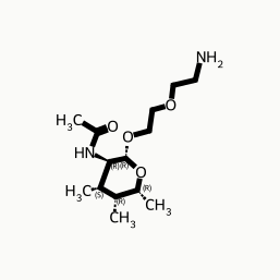 CC(=O)N[C@H]1[C@H](OCCOCCN)O[C@H](C)[C@H](C)[C@@H]1C